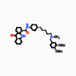 COc1ccc(CN(C)CCCCCc2ccc(NC(=O)c3cccc4c(=O)c5ccccc5[nH]c34)cc2)cc1OC